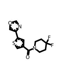 O=C(c1csc(-c2cocn2)c1)N1CCC(F)(F)CC1